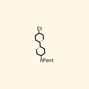 CCCCC[C@H]1CC[C@H]([C@H]2CC[C@H](CC)CC2)CC1